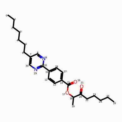 CCCCCCCc1cnc(-c2ccc(C(=O)OC(C)C(=O)CCCCC)cc2)nc1